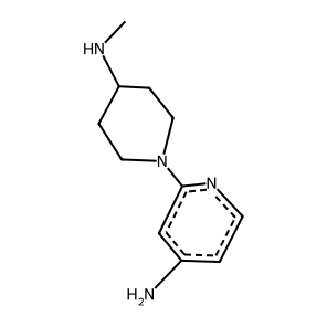 CNC1CCN(c2cc(N)ccn2)CC1